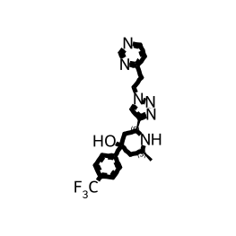 C[C@H]1CC(O)(c2ccc(C(F)(F)F)cc2)C[C@@H](c2cn(CCc3ccncn3)nn2)N1